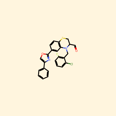 O=CC1CSc2ccc(-c3nc(-c4ccccc4)co3)cc2N1Cc1c(F)cccc1Cl